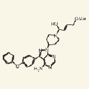 COC/C=C/C(O)N1CCC(n2nc(-c3ccc(Oc4ccccc4)cc3)c3c(N)ncnc32)CC1